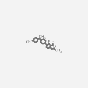 CCCC1CCC(C(C)C2CCC(c3ccc4c(c3F)C(=O)OC(C)C4)CC2)CC1